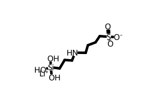 O=S(=O)([O-])CCCCNCCC[Si](O)(O)O.[Li+]